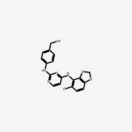 N#CCc1ccc(Nc2nccc(Nc3c(Cl)ccc4c3OCO4)n2)cc1